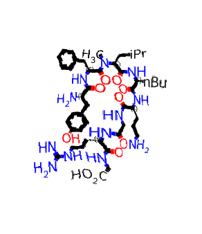 CCCC[C@H](NC(=O)[C@H](CC(C)C)N(C)C(=O)[C@H](Cc1ccccc1)NC(=O)[C@@H](N)Cc1ccc(O)cc1)C(=O)N[C@@H](CCCN)C(=O)NCC(=O)N[C@@H](CCCNC(=N)N)C(=O)NCC(=O)O